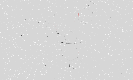 CCC1O[C@H]2C[C@@H](OC3CCCCO3)[C@H](CO[Si](C)(C)C(C)(C)C)[C@H]2CC[C@@H]1C(=O)O